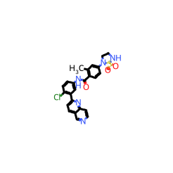 Cc1cc(N2CCNS2(=O)=O)ccc1C(=O)Nc1ccc(Cl)c(-c2ccc3cnccc3n2)c1